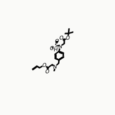 C=CCOC(=O)CN(C)Cc1ccc(N(CC(=O)OC(C)(C)C)[SH](=O)=O)cc1